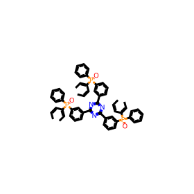 C/C=C\C(=C/C)P(=O)(c1ccccc1)c1cccc(-c2nc(-c3cccc(P(=O)(C(/C=C\C)=C/C)c4ccccc4)c3)nc(-c3cccc(P(=O)(C(/C=C\C)=C/C)c4ccccc4)c3)n2)c1